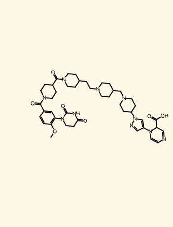 COc1ccc(C(=O)N2CCC(C(=O)N3CCC(CCN4CCC(CN5CCC(n6cc(N7C=CN=CC7C(=O)O)cn6)CC5)CC4)CC3)CC2)cc1N1CCC(=O)NC1=O